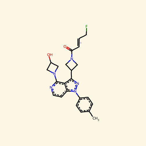 Cc1ccc(-n2nc(C3CN(C(=O)/C=C/CF)C3)c3c(N4CC(O)C4)nccc32)cc1